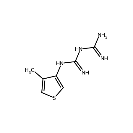 Cc1cscc1NC(=N)NC(=N)N